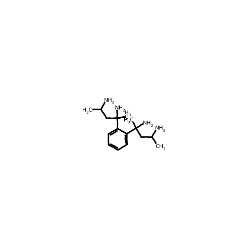 CC(N)CC(C)(N)c1ccccc1C(C)(N)CC(C)N